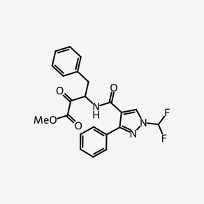 COC(=O)C(=O)C(Cc1ccccc1)NC(=O)c1cn(C(F)F)nc1-c1ccccc1